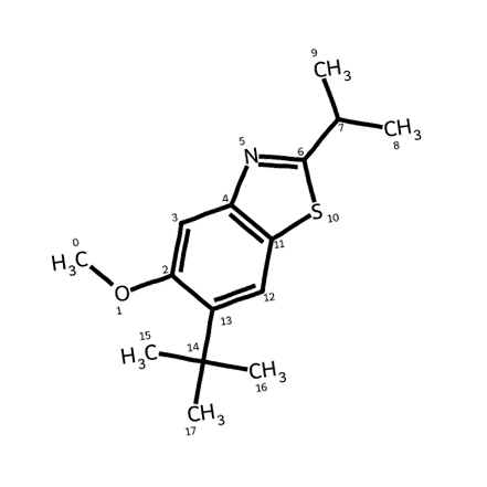 COc1cc2nc(C(C)C)sc2cc1C(C)(C)C